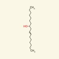 CCCCCCC=CCC(O)CCCCCCC